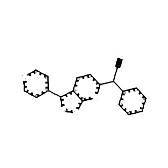 N#CC(c1ccccc1)c1ccc2c(-c3ccncc3)n[nH]c2n1